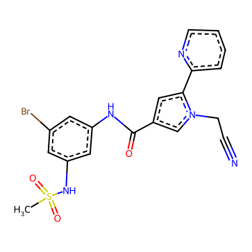 CS(=O)(=O)Nc1cc(Br)cc(NC(=O)c2cc(-c3ccccn3)n(CC#N)c2)c1